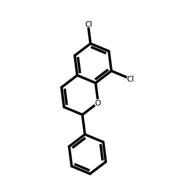 Clc1cc(Cl)c2c(c1)C=CC(c1ccccc1)O2